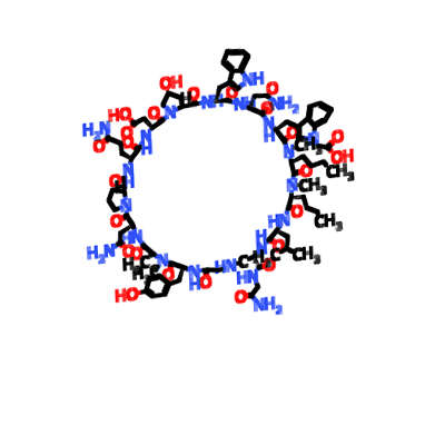 CCCC[C@H]1C(=O)N(C)[C@@H](CCCC)C(=O)N[C@@H](CC(C)C)C(=O)N[C@H](C(=O)NCC(N)=O)CNCC(=O)N[C@@H](Cc2ccc(O)cc2)C(=O)N(C)[C@@H](C)C(=O)N[C@@H](CC(N)=O)C(=O)N2CCC[C@H]2C(=O)N[C@@H](CCC(N)=O)C(=O)N[C@@H](CC(=O)O)C(=O)N2C[C@H](O)C[C@H]2C(=O)N[C@@H](Cc2c[nH]c3ccccc23)C(=O)N[C@@H](CC(N)=O)C(=O)N[C@@H](Cc2cn(CC(=O)O)c3ccccc23)C(=O)N1C